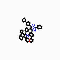 c1ccc(-c2ccc(-c3nc(-c4ccccc4)nc(-c4ccc(-c5ccccc5)cc4)c3-c3cccc(-c4nc5ccccc5c5c6ccccc6c6ccccc6c45)c3)cc2)cc1